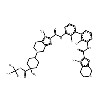 Cn1c(C(=O)Nc2cccc(-c3cccc(NC(=O)c4nc5c(n4C)CCN(C4CCC(C)(C(=O)OC(C)(C)C)CC4)C5)c3Cl)c2Cl)nc2c1CCNC2